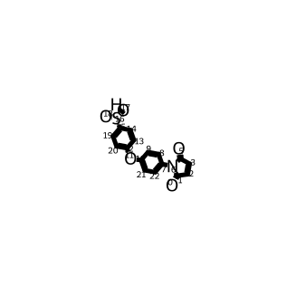 O=C1C=CC(=O)N1c1ccc(Oc2ccc([SH](=O)=O)cc2)cc1